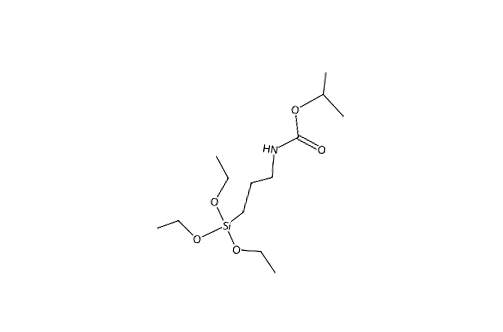 CCO[Si](CCCNC(=O)OC(C)C)(OCC)OCC